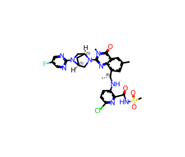 Cc1cc([C@@H](C)Nc2ccc(Cl)nc2C(=O)NS(C)(=O)=O)c2nc(N3C[C@@H]4C[C@H]3CN4c3ncc(F)cn3)n(C)c(=O)c2c1